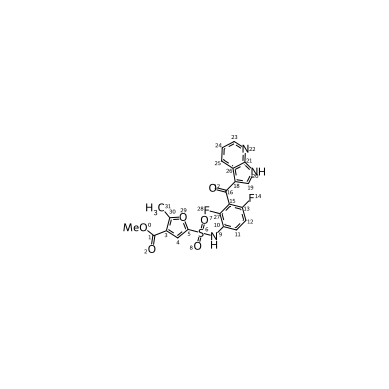 COC(=O)c1cc(S(=O)(=O)Nc2ccc(F)c(C(=O)c3c[nH]c4ncccc34)c2F)oc1C